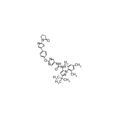 Cc1cc(C)c(-n2nc(C(C)(C)C)cc2NC(=O)Nc2cnc(Oc3ccc(-c4cnc(N5CCCC5=O)s4)cc3)nc2)c(C)c1